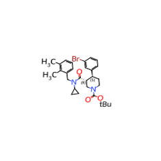 Cc1cccc(CN(C(=O)[C@H]2CN(C(=O)OC(C)(C)C)CC[C@@H]2c2cccc(Br)c2)C2CC2)c1C